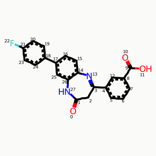 O=C1CC(c2cccc(C(=O)O)c2)=Nc2ccc(-c3ccc(F)cc3)cc2N1